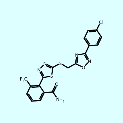 NC(=O)c1cccc(C(F)(F)F)c1-c1nnc(SCc2nc(-c3ccc(Cl)cc3)no2)s1